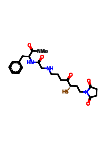 CNC(=O)[C@H](Cc1ccccc1)NC(=O)CNCCCC(=O)[C@@H](S)CCN1C(=O)CCC1=O